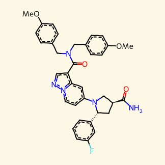 COc1ccc(CN(Cc2ccc(OC)cc2)C(=O)c2cnn3ccc(N4C[C@@H](C(N)=O)C[C@@H]4c4cccc(F)c4)cc23)cc1